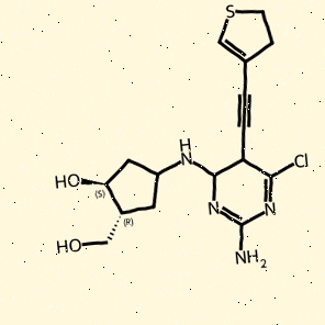 NC1=NC(NC2C[C@H](CO)[C@@H](O)C2)C(C#CC2=CSCC2)C(Cl)=N1